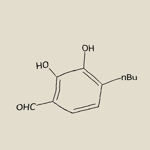 CCCCc1ccc(C=O)c(O)c1O